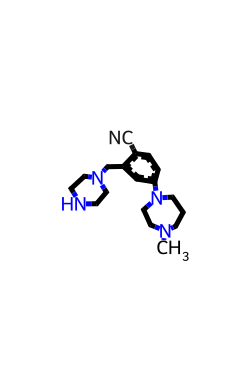 CN1CCCN(c2ccc(C#N)c(CN3CCNCC3)c2)CC1